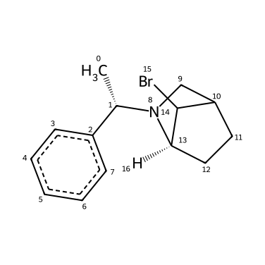 C[C@@H](c1ccccc1)N1CC2CC[C@@H]1C2Br